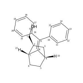 OC[C@H]1C[C@@H]2CC[C@H]1C2=C(c1ccccc1)c1ccccc1